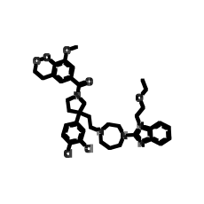 CCOCCn1c(N2CCCN(CCC3(c4ccc(Cl)c(Cl)c4)CCN(C(=O)c4cc5c(c(OC)c4)OOCC5)C3)CC2)nc2ccccc21